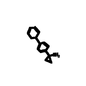 NC1(c2ccc(C3C=[C]C=CC3)cc2)CC1